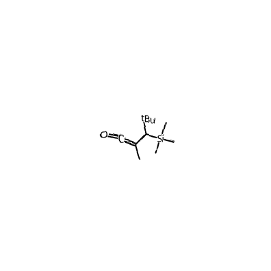 CC(=C=O)C(C(C)(C)C)[Si](C)(C)C